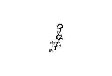 CCC/C(=N\c1ccc(OCc2ccccn2)nc1C)NC(=O)CC(C)(C)C